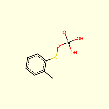 Cc1ccccc1SO[Si](O)(O)O